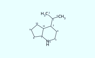 CC(C)C1CCNC2CCCC21